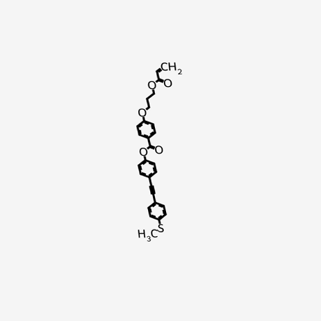 C=CC(=O)OCCCOc1ccc(C(=O)Oc2ccc(C#Cc3ccc(SC)cc3)cc2)cc1